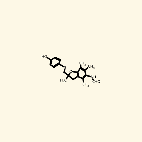 Cc1c(C)c2c(c(C)c1NC=O)CC(C)(CSc1ccc(O)cc1)O2